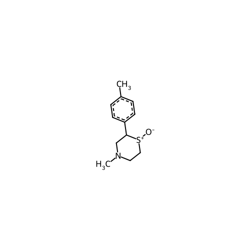 Cc1ccc(C2CN(C)CC[S+]2[O-])cc1